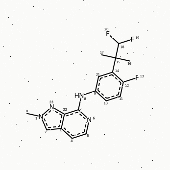 Cn1cc2ccnc(Nc3ccc(F)c(C(C)(C)C(F)F)c3)c2n1